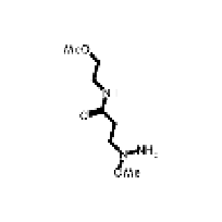 COCCNC(=O)CCN(N)OC